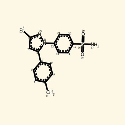 CCc1cc(-c2ccc(C)cc2)n(-c2ccc(S(N)(=O)=O)cc2)n1